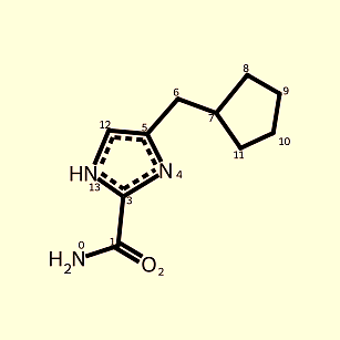 NC(=O)c1nc(CC2CCCC2)c[nH]1